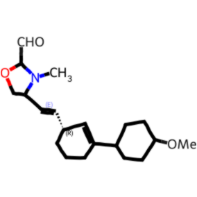 COC1CCC(C2=C[C@@H](/C=C/C3COC(C=O)N3C)CCC2)CC1